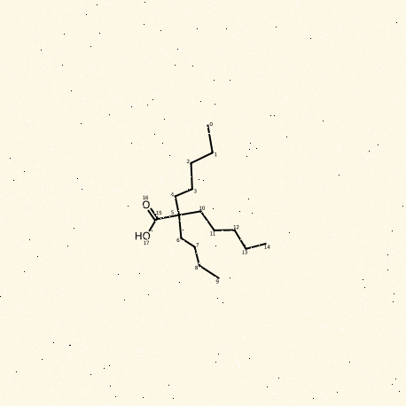 CCCCCC(CCCC)(CCCCC)C(=O)O